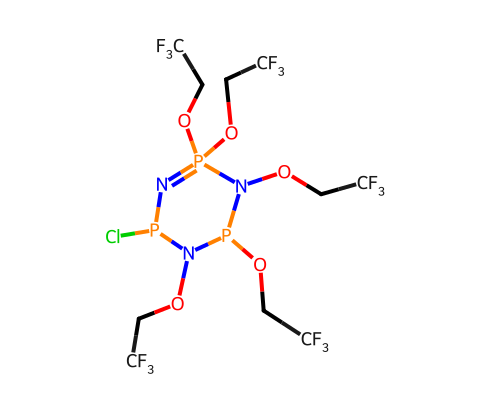 FC(F)(F)CON1P(Cl)N=P(OCC(F)(F)F)(OCC(F)(F)F)N(OCC(F)(F)F)P1OCC(F)(F)F